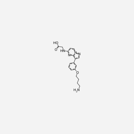 NCCCCOc1cccc(-c2cnn3ccc(NCC(=O)O)nc23)c1